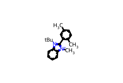 Cc1ccc(C)c(-c2n(C(C)(C)C)c3ccccc3[n+]2C)c1